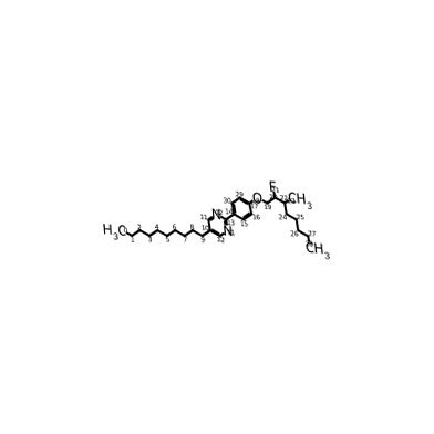 CCCCCCCCCCc1cnc(-c2ccc(OCC(F)C(C)CCCCC)cc2)nc1